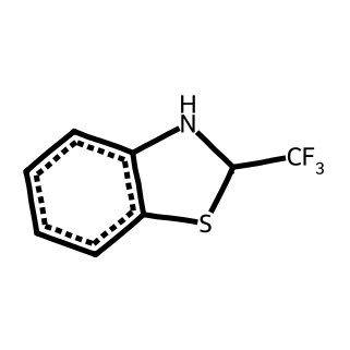 FC(F)(F)[C]1Nc2ccccc2S1